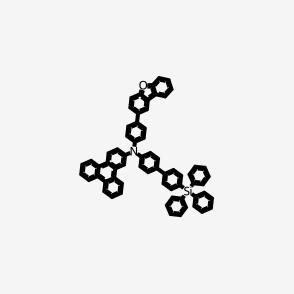 c1ccc([Si](c2ccccc2)(c2ccccc2)c2ccc(-c3ccc(N(c4ccc(-c5ccc6oc7ccccc7c6c5)cc4)c4ccc5c6ccccc6c6ccccc6c5c4)cc3)cc2)cc1